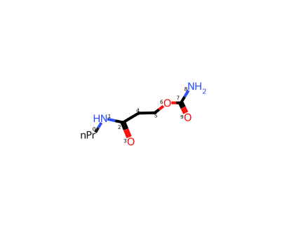 CCCNC(=O)CCOC(N)=O